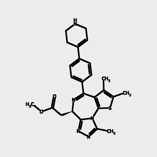 COC(=O)C[C@@H]1N=C(c2ccc(C3=CCNCC3)cc2)c2c(sc(C)c2C)-n2c(C)nnc21